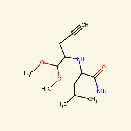 C#CCC(NC(CC(C)C)C(N)=O)C(OC)OC